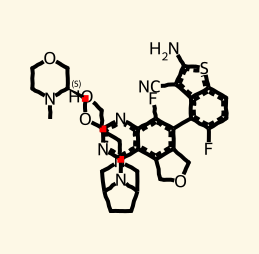 CN1CCOC[C@H]1COc1nc(N2C3CCC2CN(CCCO)C3)c2c3c(c(-c4c(F)ccc5sc(N)c(C#N)c45)c(F)c2n1)COC3